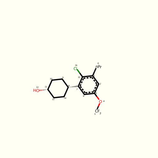 CCCc1cc(OC(F)(F)F)cc([C@H]2CC[C@@H](O)CC2)c1Cl